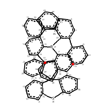 c1ccc(-c2cccc(-c3ccccc3)c2B(c2cccc3c2-c2ccccc2C32c3ccccc3Sc3ccccc32)c2c(-c3ccccc3)cccc2-c2ccccc2)cc1